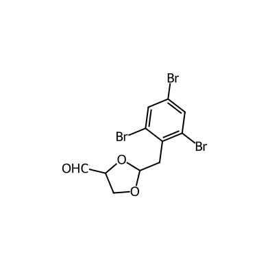 O=CC1COC(Cc2c(Br)cc(Br)cc2Br)O1